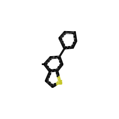 [c]1cc(-c2ccccc2)cc2sccc12